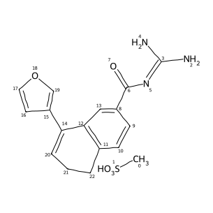 CS(=O)(=O)O.NC(N)=NC(=O)c1ccc2c(c1)C(c1ccoc1)=CCC2